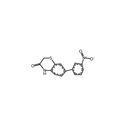 O=C1CSc2cc(-c3cccc([N+](=O)[O-])c3)ccc2N1